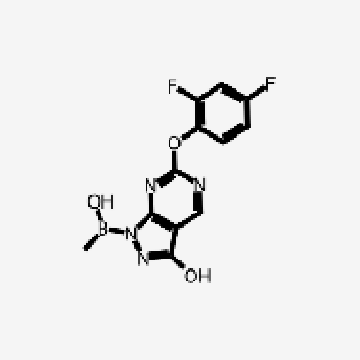 CB(O)n1nc(O)c2cnc(Oc3ccc(F)cc3F)nc21